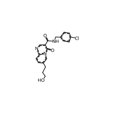 O=C(NCc1ccc(Cl)cc1)c1cnc2ccc(CCCO)cn2c1=O